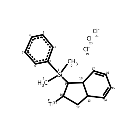 C[Si](C)(c1ccccc1)C1[CH]([Ti+3])CC2C=CC=CC21.[Cl-].[Cl-].[Cl-]